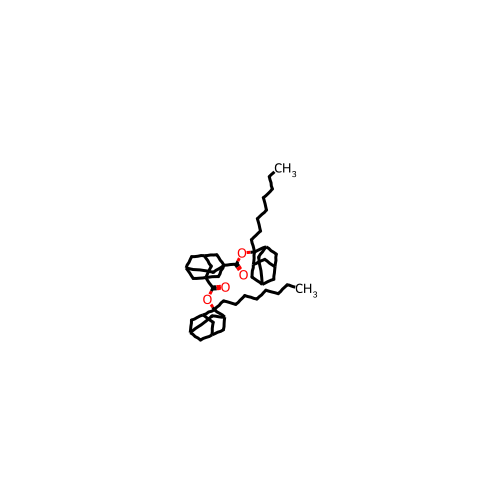 CCCCCCCCC1(OC(=O)C23CC4CC(C2)CC(C(=O)OC2(CCCCCCCC)C5CC6CC(C5)CC2C6)(C4)C3)C2CC3CC(C2)CC1C3